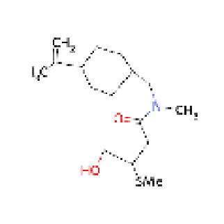 C=C(C)C1CCC(CN(C)C(=O)CC(CO)SC)CC1